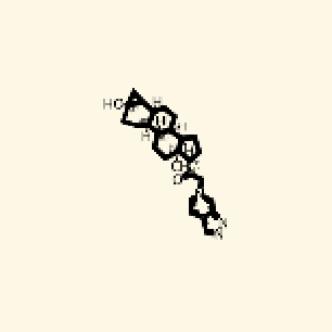 C[C@]12CC[C@@H]3[C@H]4CC[C@]5(O)CC5[C@H]4CC[C@H]3[C@@H]1CC[C@@H]2C(=O)Cn1ccc2cnnc-2c1